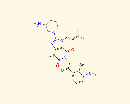 CC(=O)c1c(N)cccc1C(=O)Cn1c(=O)c2c(nc(N3CCCC(N)C3)n2CC=C(C)C)n(C)c1=O